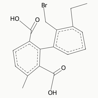 CCc1cccc(-c2c(C(=O)O)ccc(C)c2C(=O)O)c1CBr